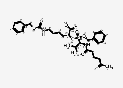 CC(=O)CCCC(=O)NC(C(C)C)P(=O)(OCc1ccccc1)O[C@@H](CCCCNC(=O)OCc1ccccc1)C(=O)O